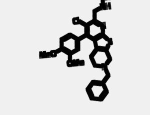 COc1ccc(-c2c(Cl)c(CNC=O)nc3sc4c(c23)CCN(Cc2ccccc2)C4)cc1OC